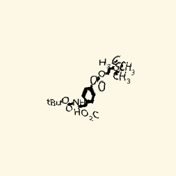 CC(C)(C)OC(=O)N[C@H](Cc1ccc(OC(=O)OCC[Si](C)(C)C)cc1)C(=O)O